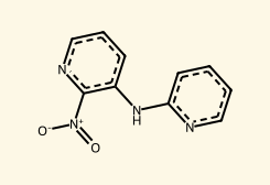 O=[N+]([O-])c1ncccc1Nc1ccccn1